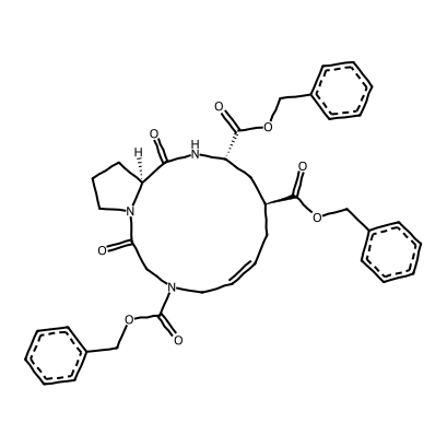 O=C(OCc1ccccc1)[C@H]1CC=CCN(C(=O)OCc2ccccc2)CC(=O)N2CCC[C@H]2C(=O)N[C@H](C(=O)OCc2ccccc2)C1